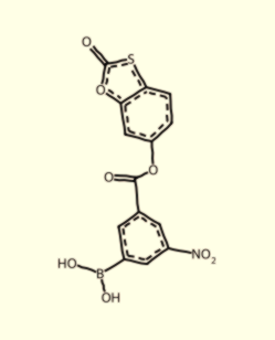 O=C(Oc1ccc2sc(=O)oc2c1)c1cc(B(O)O)cc([N+](=O)[O-])c1